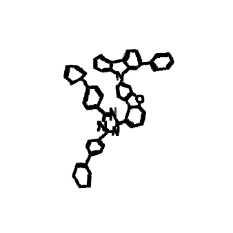 C1=CCC(c2ccc(-c3nc(C4=CC=CC5Oc6cc(-n7c8ccccc8c8ccc(-c9ccccc9)cc87)ccc6C45)nc(-c4ccc(C5=CCCC=C5)cc4)n3)cc2)C=C1